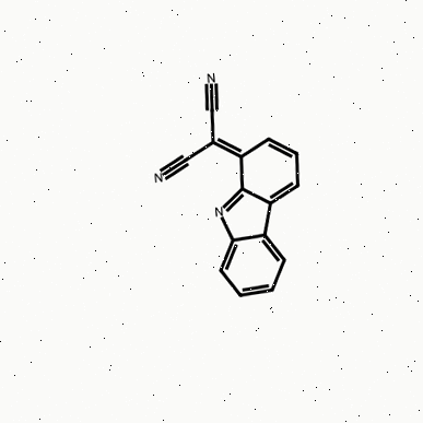 N#CC(C#N)=c1cccc2c1=Nc1ccccc1-2